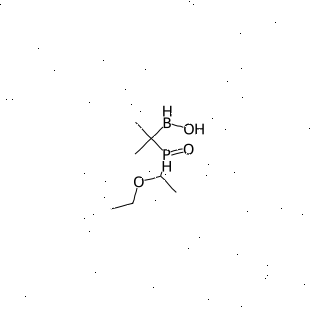 CCOC(C)[PH](=O)C(C)(C)BO